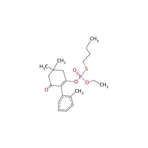 CCCCSP(=O)(OCC)OC1=C(c2ccccc2C)C(=O)CC(C)(C)C1